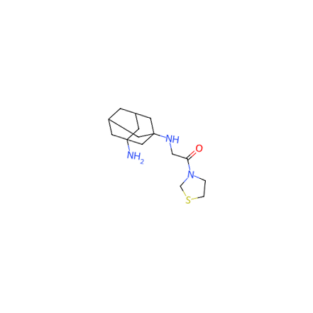 NC12CC3CC(C1)CC(NCC(=O)N1CCSC1)(C3)C2